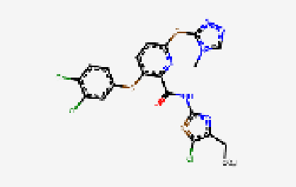 Cn1cnnc1Sc1ccc(Sc2ccc(Cl)c(Cl)c2)c(C(=O)Nc2nc(CC(=O)O)c(Cl)s2)n1